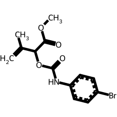 C=C(C)C(OC(=O)Nc1ccc(Br)cc1)C(=O)OC